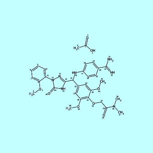 CC(=O)O.COc1ccccc1-n1nc(C(Nc2ccc(C(=N)N)cc2)c2cc(OC)c(OCC(=O)N(C)C)c(OC)c2)[nH]c1=O